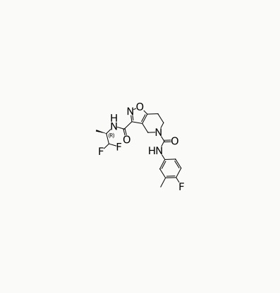 Cc1cc(NC(=O)N2CCc3onc(C(=O)N[C@H](C)C(F)F)c3C2)ccc1F